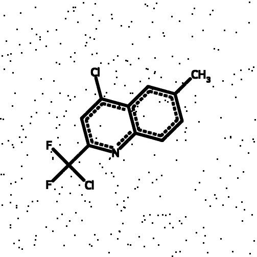 Cc1ccc2nc(C(F)(F)Cl)cc(Cl)c2c1